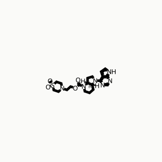 O=C(OCCN1CCS(=O)(=O)CC1)N1CCC[C@@H]2[C@H]1CCN2c1ncnc2[nH]ccc12